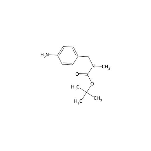 CN(Cc1ccc(N)cc1)C(=O)OC(C)(C)C